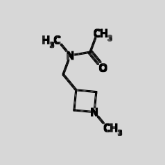 CC(=O)N(C)CC1CN(C)C1